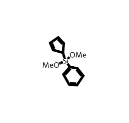 CO[Si](OC)(c1ccccc1)C1C=CC=C1